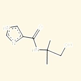 CC(C)(CO)NC(=O)c1c[nH]cn1